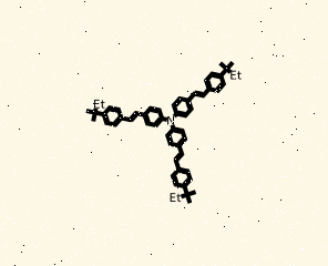 CCC(C)(C)c1ccc(/C=C/c2ccc(N(c3ccc(/C=C/c4ccc(C(C)(C)CC)cc4)cc3)c3ccc(/C=C/c4ccc(C(C)(C)CC)cc4)cc3)cc2)cc1